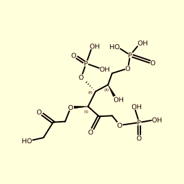 O=C(CO)CO[C@H](C(=O)COP(=O)(O)O)[C@H](OP(=O)(O)O)[C@H](O)COP(=O)(O)O